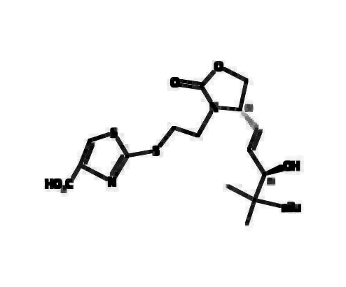 CCCCC(C)(C)[C@H](O)C=C[C@H]1COC(=O)N1CCSc1nc(C(=O)O)cs1